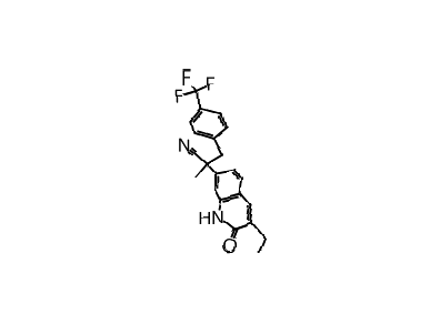 CCc1cc2ccc(C(C)(C#N)Cc3ccc(C(F)(F)F)cc3)cc2[nH]c1=O